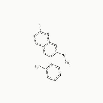 COc1cc2nc(I)ncc2cc1-c1ccccc1C